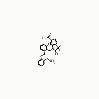 CC1(C)C(=O)N(Cc2c(Cl)cccc2CCc2ccccc2CN)c2cc(C(=O)O)ccc21